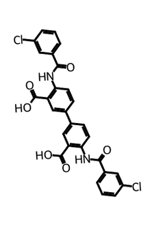 O=C(Nc1ccc(-c2ccc(NC(=O)c3cccc(Cl)c3)c(C(=O)O)c2)cc1C(=O)O)c1cccc(Cl)c1